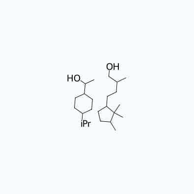 CC(C)C1CCC(C(C)O)CC1.CC(CO)CCC1CCC(C)C1(C)C